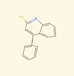 Sc1cc(-c2ccccc2)c2ccccc2n1